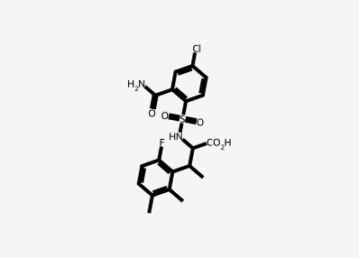 Cc1ccc(F)c(C(C)C(NS(=O)(=O)c2ccc(Cl)cc2C(N)=O)C(=O)O)c1C